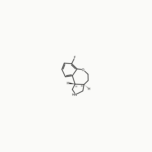 Fc1cccc2c1OCC[C@H]1CNC[C@H]21